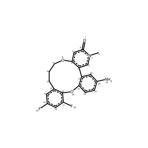 Cn1cc2c(cc1=O)OCCCc1cc(F)cc(F)c1Oc1ccc(N)cc1-2